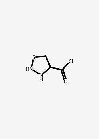 O=C(Cl)C1CSNN1